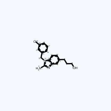 Nc1nc2cc(CCCO)ccc2n1Cc1cccc(Cl)c1